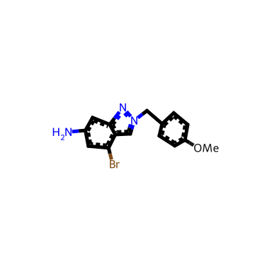 COc1ccc(Cn2cc3c(Br)cc(N)cc3n2)cc1